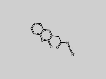 [N-]=[N+]=NC(=O)Cc1cc2ccccc2oc1=O